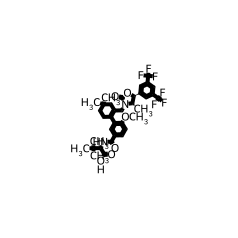 COc1ccc(C(=O)NC(C(=O)O)C(C)(C)C)cc1C1=C(CN2C(=O)O[C@H](c3cc(C(F)(F)F)cc(C(F)(F)F)c3)[C@@H]2C)CC(C)(C)CC1